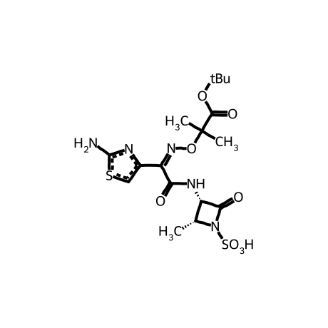 C[C@@H]1[C@H](NC(=O)C(=NOC(C)(C)C(=O)OC(C)(C)C)c2csc(N)n2)C(=O)N1S(=O)(=O)O